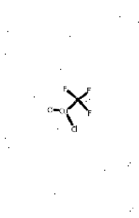 F[C](F)(F)[Cu]([Cl])[Cl]